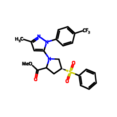 COC(=O)C1C[C@@H](S(=O)(=O)c2ccccc2)CN1c1cc(C)nn1-c1ccc(C(F)(F)F)cc1